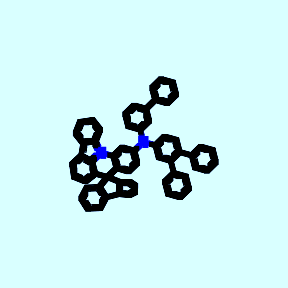 c1ccc(-c2cccc(N(c3ccc(-c4ccccc4)c(-c4ccccc4)c3)c3ccc4c(c3)-n3c5ccccc5c5cccc(c53)C43c4ccccc4-c4ccccc43)c2)cc1